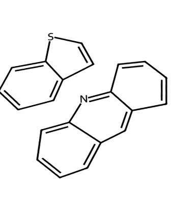 c1ccc2nc3ccccc3cc2c1.c1ccc2sccc2c1